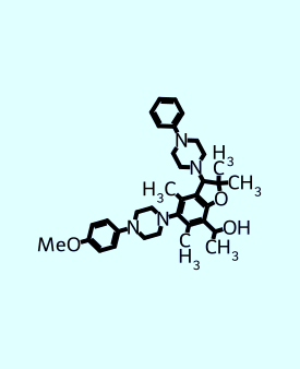 COc1ccc(N2CCN(c3c(C)c(C(C)O)c4c(c3C)C(N3CCN(c5ccccc5)CC3)C(C)(C)O4)CC2)cc1